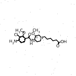 COc1c(C(=O)N[C@@H]2CCN(CCCCCC(=O)O)C[C@@H]2OC)ccc(N)c1Cl